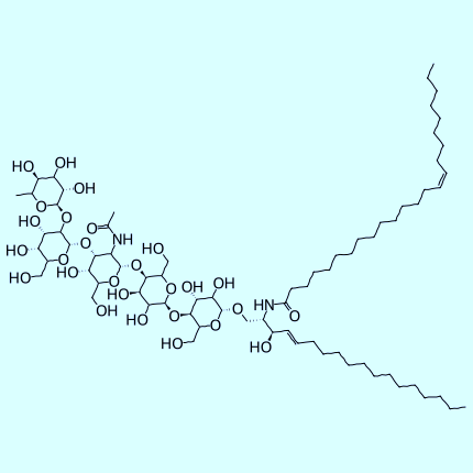 CCCCCCCC/C=C\CCCCCCCCCCCCCC(=O)N[C@@H](CO[C@@H]1OC(CO)[C@@H](O[C@@H]2OC(CO)[C@H](O[C@@H]3OC(CO)[C@H](O)[C@H](O[C@@H]4OC(CO)[C@H](O)[C@H](O)C4O[C@H]4OC(C)[C@@H](O)C(O)[C@@H]4O)C3NC(C)=O)[C@H](O)C2O)[C@H](O)C1O)[C@H](O)/C=C/CCCCCCCCCCCCC